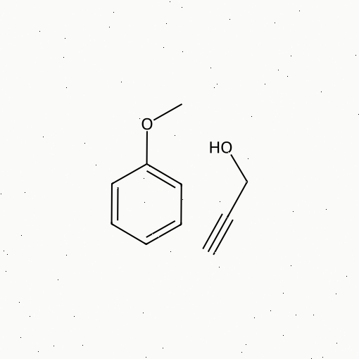 C#CCO.COc1ccccc1